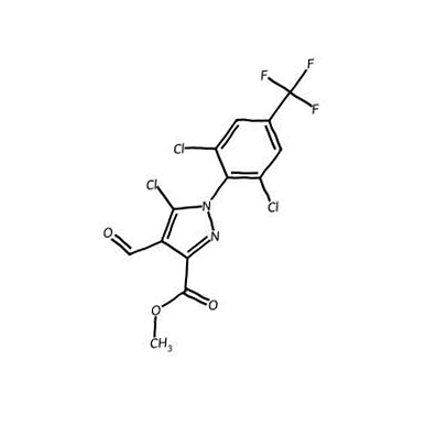 COC(=O)c1nn(-c2c(Cl)cc(C(F)(F)F)cc2Cl)c(Cl)c1C=O